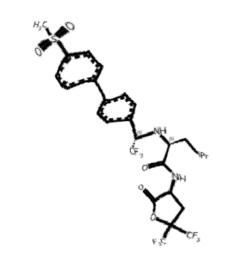 CC(C)C[C@H](N[C@@H](c1ccc(-c2ccc(S(C)(=O)=O)cc2)cc1)C(F)(F)F)C(=O)NC1CC(C(F)(F)F)(C(F)(F)F)OC1=O